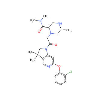 C[C@@H]1CN(CC(=O)N2CC(C)(C)c3cnc(Oc4ccccc4Cl)cc32)[C@@H](C(=O)N(C)C)CN1